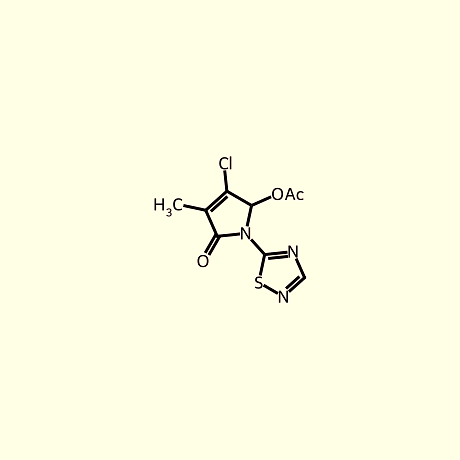 CC(=O)OC1C(Cl)=C(C)C(=O)N1c1ncns1